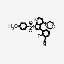 Cc1ccc(S(=O)(=O)n2cc(-c3cccc(C#N)c3F)c3c(N4CCOCC4)ccnc32)cc1